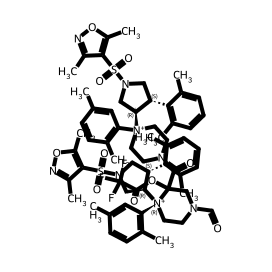 Cc1ccc(C)c([N+]2([C@H]3CN(S(=O)(=O)c4c(C)noc4C)C[C@@H]3c3c(C)cccc3C)CCN(C(=O)C3(OC(=O)C(F)(F)F)CN(C=O)CC[N@+]3(c3cc(C)ccc3C)[C@H]3CN(S(=O)(=O)c4c(C)noc4C)C[C@@H]3c3c(C)cccc3C)CC2)c1